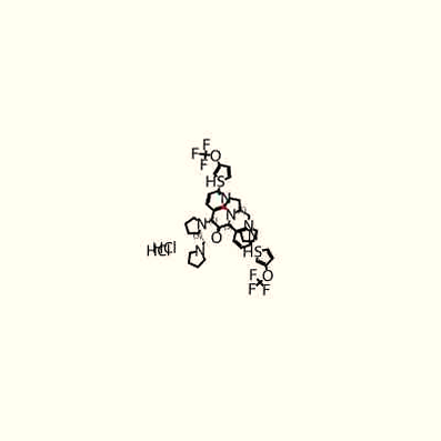 Cl.Cl.O=C([C@H](c1ccc([SH]2C=CC(OC(F)(F)F)=C2)nc1)N1CCC[C@H]1CN1CCCC1)[C@H](c1ccc([SH]2C=CC(OC(F)(F)F)=C2)nc1)N1CCC[C@H]1CN1CCCC1